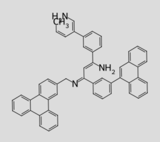 C/C=C\C(=C/N)c1cccc(/C(N)=C/C(=N\Cc2ccc3c4ccccc4c4ccccc4c3c2)c2cccc(-c3cc4ccccc4c4ccccc34)c2)c1